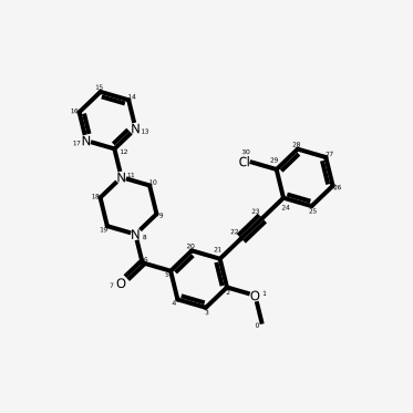 COc1ccc(C(=O)N2CCN(c3ncccn3)CC2)cc1C#Cc1ccccc1Cl